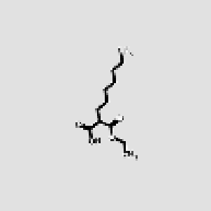 CCCCCCCC(C(=O)O)C(=O)OCC